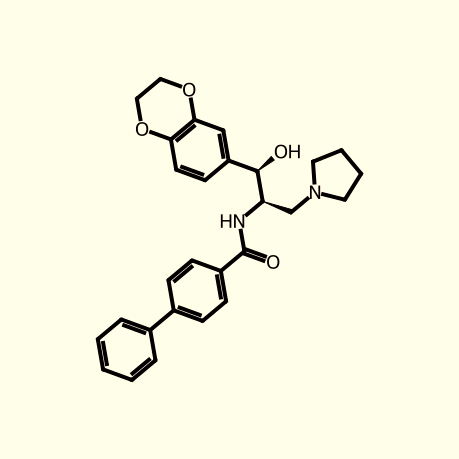 O=C(N[C@H](CN1CCCC1)[C@H](O)c1ccc2c(c1)OCCO2)c1ccc(-c2ccccc2)cc1